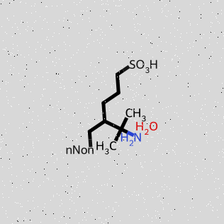 CCCCCCCCCCC(CCCS(=O)(=O)O)C(C)(C)N.O